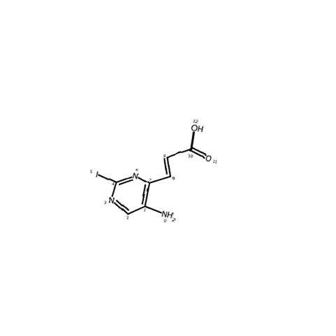 Nc1cnc(I)nc1C=CC(=O)O